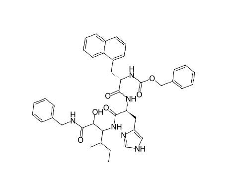 CCC(C)C(NC(=O)[C@H](Cc1c[nH]cn1)NC(=O)[C@H](Cc1cccc2ccccc12)NC(=O)OCc1ccccc1)C(O)C(=O)NCc1ccccc1